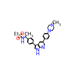 CCS(=O)(=O)NC(C)c1ccc(-c2c[nH]c3ncc(-c4ccc(N5CCN(C)CC5)cc4)cc23)cc1